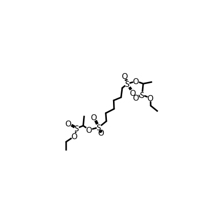 CCOS(=O)C(C)OS(=O)(=O)CCCCCCS(=O)(=O)OC(C)S(=O)OCC